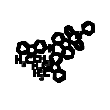 CC1(C)c2ccccc2-c2ccc(N(c3ccc4c(c3)C(C)(C)c3ccccc3-4)c3cccc4c3-c3ccccc3C43c4ccccc4N(c4ccccc4)c4ccccc43)cc21